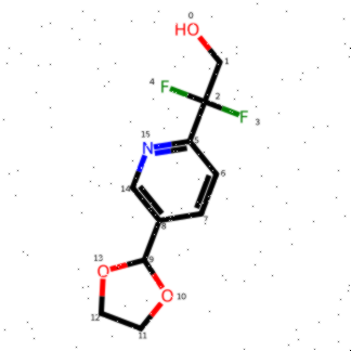 OCC(F)(F)c1ccc(C2OCCO2)cn1